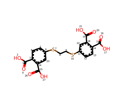 O=C(O)c1ccc(SCCSc2ccc(C(=O)O)c(C(=O)O)c2)cc1C(=O)O